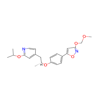 COCOc1cc(-c2ccc(O[C@H](C)Cc3ccnc(OC(C)C)c3)cc2)on1